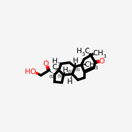 CC1(C)C[C@@]2(C)C(=CC1=O)CC[C@H]1[C@@H]3CC[C@H](C(=O)CO)[C@@]3(C)CC[C@@H]12